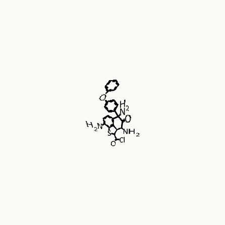 Nc1ccc2c3c1SC(C(=O)Cl)C3C(N)C(=O)C2(N)c1ccc(Oc2ccccc2)cc1